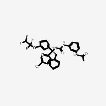 CC(=O)Nc1cccc(NC(=O)N[C@@](Cc2ccccc2)(c2cccc(OC(F)(F)C(F)F)c2)c2ccc(Cl)cn2)c1